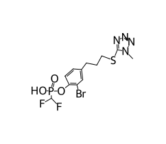 Cn1nnnc1SCCCc1ccc(OP(=O)(O)C(F)F)c(Br)c1